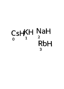 [CsH].[KH].[NaH].[RbH]